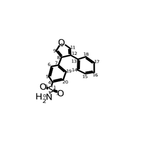 NS(=O)(=O)c1ccc(-c2cocc2-c2ccccc2)cc1